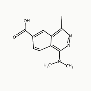 CN(C)c1nnc(I)c2cc(C(=O)O)ccc12